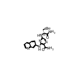 CC(C)(C)C[C@@H](Nc1cnc(C(N)=O)c(Nc2ccc3cccnc3c2)n1)C(N)=O